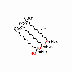 CCCCCCC(O)CCCCCCCCCCC(=O)[O-].CCCCCCC(O)CCCCCCCCCCC(=O)[O-].CCCCCCC(O)CCCCCCCCCCC(=O)[O-].[La+3]